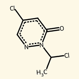 CC(Cl)n1ncc(Cl)cc1=O